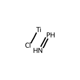 N=P.[Cl][Ti]